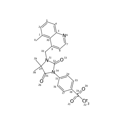 Cc1cccc2nccc(CN3C(=O)N(c4ccc(S(=O)(=O)C(F)(F)F)cc4)C(=O)C3(C)C)c12